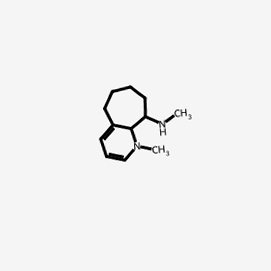 CNC1CCCCC2=CC=CN(C)C21